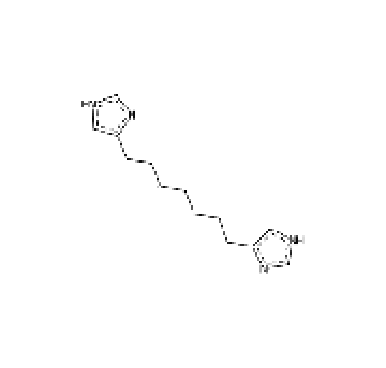 [CH](CCCCc1c[nH]cn1)CCc1c[nH]cn1